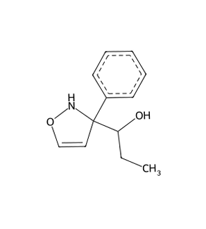 CCC(O)C1(c2ccccc2)C=CON1